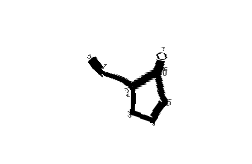 C#CC1CC=CC1=O